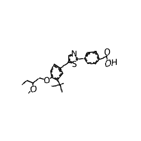 CCC(COc1ccc(-c2cnc(-c3ccc(C(=O)O)cc3)s2)cc1C(C)(C)C)OC